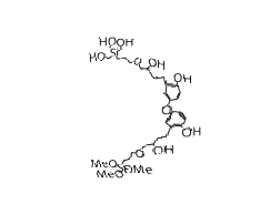 CO[Si](CCCOCC(O)CCc1cc(Oc2ccc(O)c(CCC(O)COCCC[Si](CO)(CO)CO)c2)ccc1O)(OC)OC